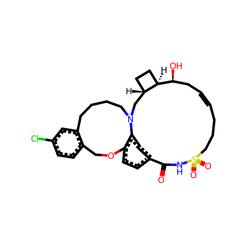 O=C1NS(=O)(=O)CCC/C=C\C[C@H](O)[C@@H]2CC[C@H]2CN2CCCCc3cc(Cl)ccc3COc3ccc1cc32